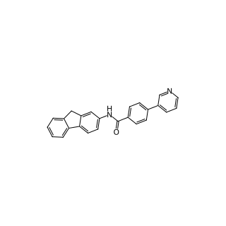 O=C(Nc1ccc2c(c1)Cc1ccccc1-2)c1ccc(-c2cccnc2)cc1